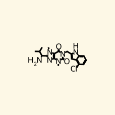 CC(C)C(N)c1nc2c(c(=O)n(Cc3cc4c(Cl)cccc4[nH]3)c(=O)n2C)n1C